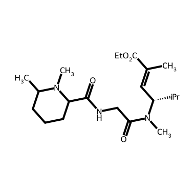 CCOC(=O)/C(C)=C/[C@H](C(C)C)N(C)C(=O)CNC(=O)C1CCCC(C)N1C